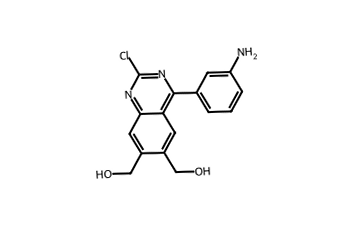 Nc1cccc(-c2nc(Cl)nc3cc(CO)c(CO)cc23)c1